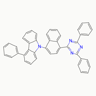 c1ccc(-c2nc(-c3ccccc3)nc(-c3ccc(-n4c5ccccc5c5c(-c6ccccc6)cccc54)c4ccccc34)n2)cc1